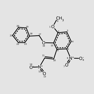 COc1ccc([N+](=O)[O-])c(C=C[N+](=O)[O-])c1OCc1ccccc1